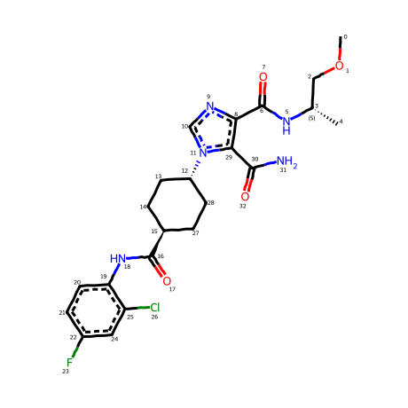 COC[C@H](C)NC(=O)c1ncn([C@H]2CC[C@H](C(=O)Nc3ccc(F)cc3Cl)CC2)c1C(N)=O